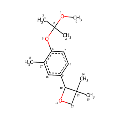 COC(C)(C)Oc1ccc(C2OCC2(C)C)cc1C